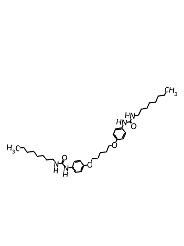 CCCCCCCCNC(=O)Nc1ccc(OCCCCCOc2ccc(NC(=O)NCCCCCCCC)cc2)cc1